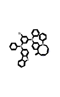 C=C1/C=C\C=C/CN(c2ccccc2)c2cc(N(c3ccccc3)c3cc(Br)cc(N(c4ccccc4)c4ccc5sc6ccccc6c5c4)c3)ccc21